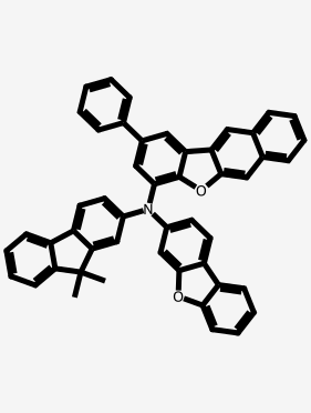 CC1(C)c2ccccc2-c2ccc(N(c3ccc4c(c3)oc3ccccc34)c3cc(-c4ccccc4)cc4c3oc3cc5ccccc5cc34)cc21